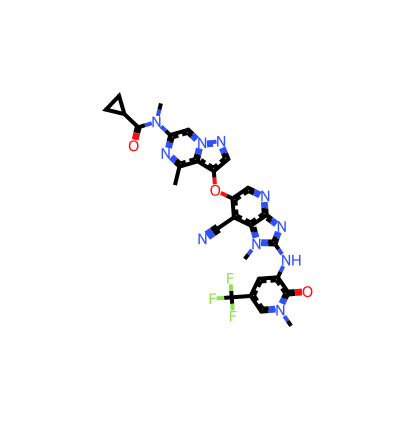 Cc1nc(N(C)C(=O)C2CC2)cn2ncc(Oc3cnc4nc(Nc5cc(C(F)(F)F)cn(C)c5=O)n(C)c4c3C#N)c12